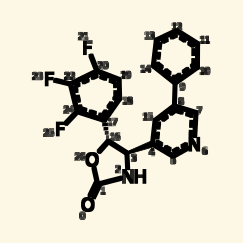 O=C1N[C@H](c2cncc(-c3ccccc3)c2)[C@@H](c2ccc(F)c(F)c2F)O1